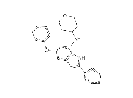 c1ccc(Oc2cc(NC3CCOCC3)c3[nH]c(-c4ccccc4)cc3c2)cc1